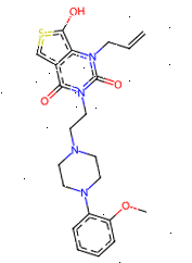 C=CCn1c(=O)n(CCN2CCN(c3ccccc3OC)CC2)c(=O)c2csc(O)c21